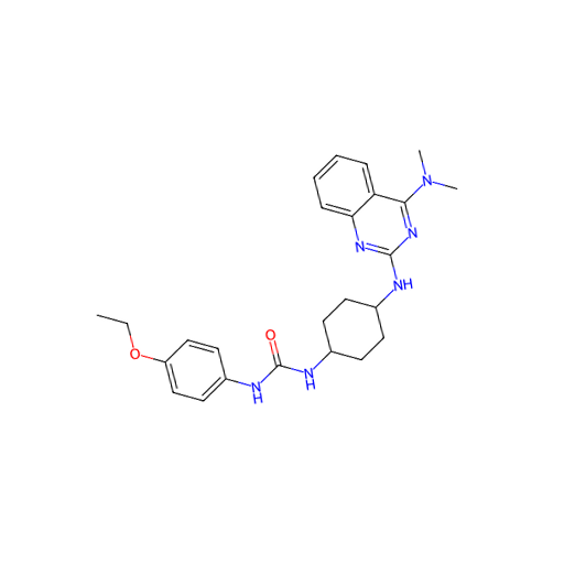 CCOc1ccc(NC(=O)NC2CCC(Nc3nc(N(C)C)c4ccccc4n3)CC2)cc1